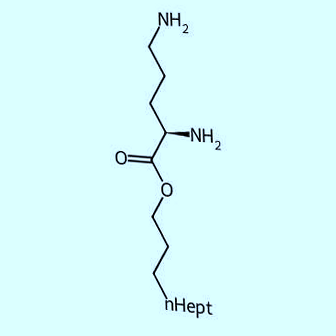 CCCCCCCCCCOC(=O)[C@H](N)CCCN